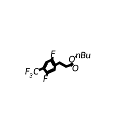 CCCCOC(=O)CCc1cc(F)c(C(F)(F)F)cc1F